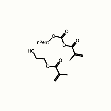 C=C(C)C(=O)OC(=O)OCCCCC.C=C(C)C(=O)OCCO